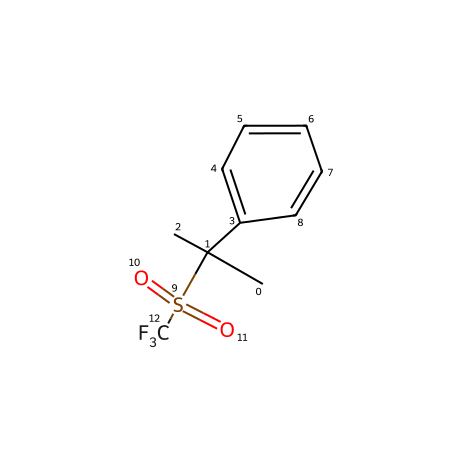 CC(C)(c1ccccc1)S(=O)(=O)C(F)(F)F